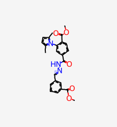 COC(=O)c1cccc(/C=N/NC(=O)c2ccc(C(=O)OC)c(-n3c(C)ccc3C)c2)c1